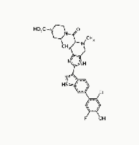 CCc1cc(O)c(F)cc1-c1ccc2c(-c3nc4c([nH]3)CN(C)C(C(=O)N3CCN(C(=O)O)CC3C)C4)n[nH]c2c1